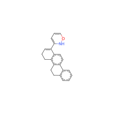 C1=CONC(C2=CCCc3c2ccc2c3CCc3ccccc3-2)=C1